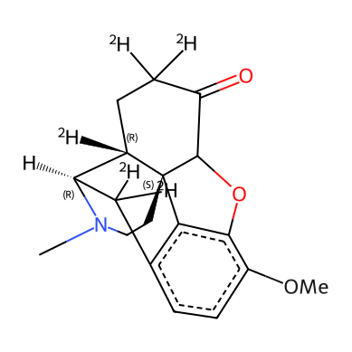 [2H]C1([2H])C[C@@]2([2H])[C@@H]3N(C)CC[C@@]24c2c(ccc(OC)c2OC4C1=O)C3([2H])[2H]